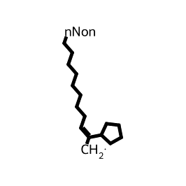 [CH2]/C(=C/CCCCCCCCCCCCCCCCC)C1CCCC1